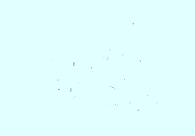 CNC(C(=O)NC(C(=O)N[C@@H](CC(=O)O)C(=O)NC(C(=O)N[C@@H](CS)C(=O)O)C(O)[C@H](O)CCO)C(O)[C@H](O)CCO)[C@@H](O)[C@H](O)[C@H](O)CO